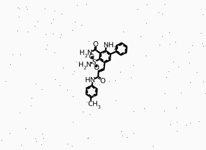 Cc1ccc(NC(=O)C=Cc2cc(-c3ccccc3)c(N)c(C(N)=O)c2S(N)(=O)=O)cc1